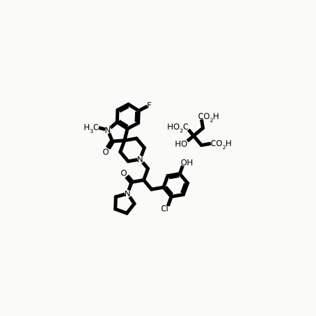 CN1C(=O)C2(CCN(CC(Cc3cc(O)ccc3Cl)C(=O)N3CCCC3)CC2)c2cc(F)ccc21.O=C(O)CC(O)(CC(=O)O)C(=O)O